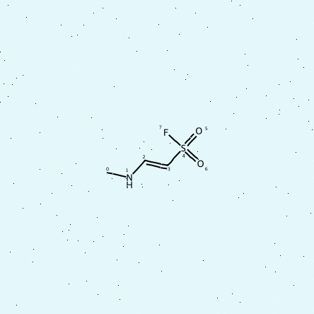 CN/C=C/S(=O)(=O)F